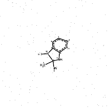 CC(C)C1(C)Nc2nnccc2N1I